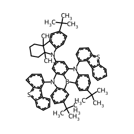 CC(C)(C)c1ccc2c(c1)B1c3cc(C(C)(C)C)ccc3N(c3cccc4sc5ccccc5c34)c3cc(N4c5ccc(C(C)(C)C)cc5C5(C)CCCCC45C)cc(c31)N2c1cccc2sc3ccccc3c12